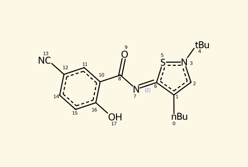 CCCCc1cn(C(C)(C)C)s/c1=N\C(=O)c1cc(C#N)ccc1O